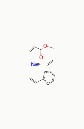 C=CC#N.C=CC(=O)OC.C=Cc1ccccc1